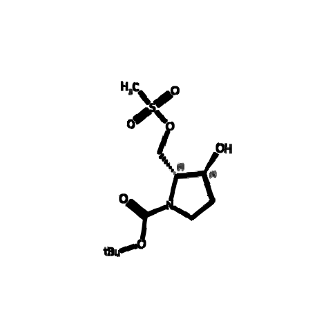 CC(C)(C)OC(=O)N1CC[C@H](O)[C@H]1COS(C)(=O)=O